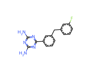 Nc1nc(N)nc(-c2cccc(Cc3cccc(F)c3)c2)n1